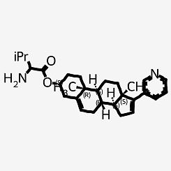 CC(C)C(N)C(=O)O[C@H]1CC[C@@]2(C)C(=CC[C@@H]3[C@@H]2CC[C@]2(C)C(c4cccnc4)=CC[C@@H]32)C1